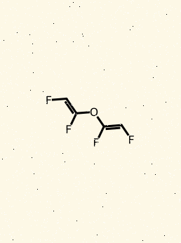 FC=C(F)OC(F)=CF